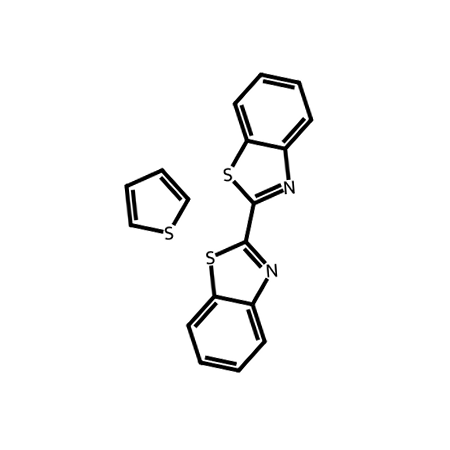 c1ccc2sc(-c3nc4ccccc4s3)nc2c1.c1ccsc1